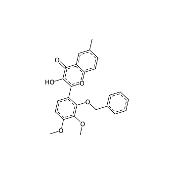 COc1ccc(-c2oc3ccc(C)cc3c(=O)c2O)c(OCc2ccccc2)c1OC